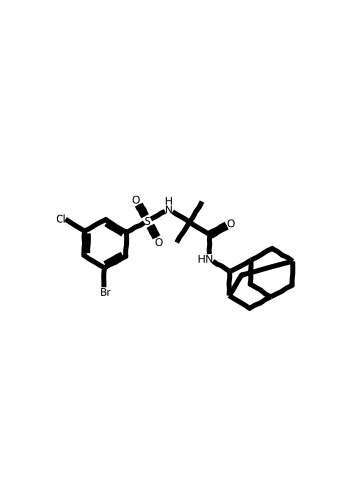 CC(C)(NS(=O)(=O)c1cc(Cl)cc(Br)c1)C(=O)NC1C2CC3CC(C2)CC1C3